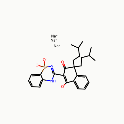 CC(C)CCC1(CCC(C)C)C(=O)C(C2=NS([O-])([O-])c3ccccc3N2)=C([O-])c2ccccc21.[Na+].[Na+].[Na+]